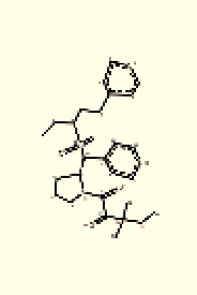 CCC(CCc1ccncc1)S(=O)(=O)C(c1ccncc1)[C@@H]1CCCN1C(=O)C(=O)C(C)(C)CC